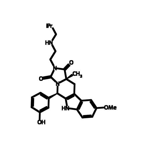 COc1ccc2[nH]c3c(c2c1)C[C@@]1(C)C(=O)N(CCNCC(C)C)C(=O)N1[C@@H]3c1cccc(O)c1